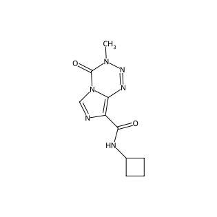 Cn1nnc2c(C(=O)NC3CCC3)ncn2c1=O